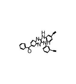 C#Cc1cccc(Nc2nc3ccc(C(=O)c4ccccc4)cc3nc2Nc2cccc(C#C)c2)c1